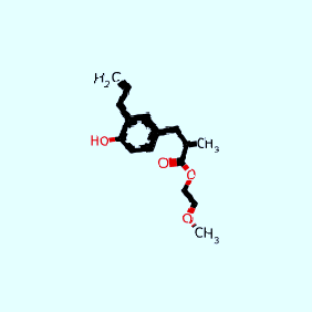 C=CCc1cc(CC(C)C(=O)OCCOC)ccc1O